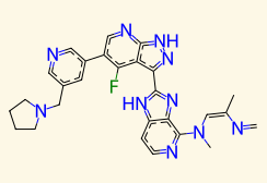 C=N/C(C)=C\N(C)c1nccc2[nH]c(-c3n[nH]c4ncc(-c5cncc(CN6CCCC6)c5)c(F)c34)nc12